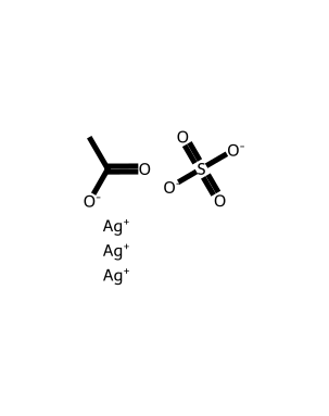 CC(=O)[O-].O=S(=O)([O-])[O-].[Ag+].[Ag+].[Ag+]